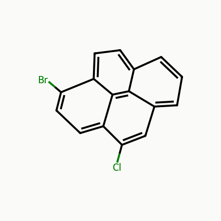 Clc1cc2cccc3ccc4c(Br)ccc1c4c32